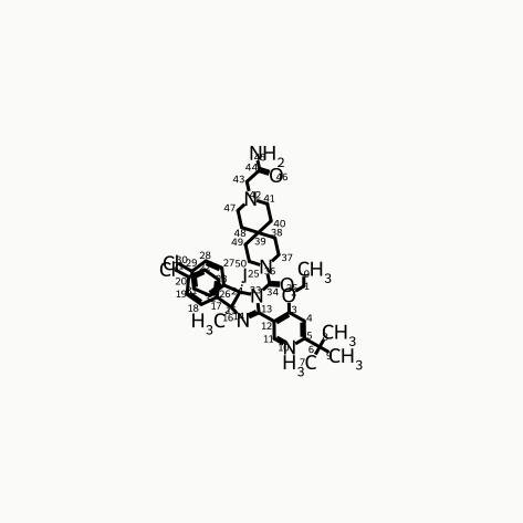 CCOc1cc(C(C)(C)C)ncc1C1=N[C@@](C)(c2ccc(Cl)cc2)[C@@](I)(c2ccc(Cl)cc2)N1C(=O)N1CCC2(CCN(CC(N)=O)CC2)CC1